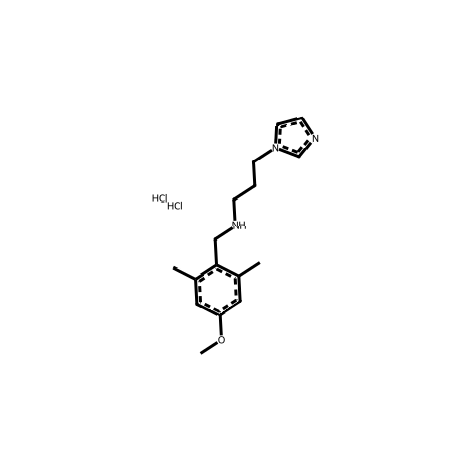 COc1cc(C)c(CNCCCn2ccnc2)c(C)c1.Cl.Cl